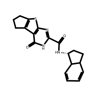 O=C(N[C@@H]1CCC2C=CC=CC21)c1nc2sc3c(c2c(=O)[nH]1)CCC3